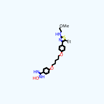 CCc1sc(NCCOC)nc1-c1ccc(OCCCCCOc2ccc(C(=N)NO)cc2)cc1